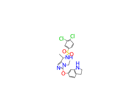 CCn1c(C(C)NS(=O)(=O)c2ccc(Cl)c(Cl)c2)cnc1Oc1ccc2c(c1)NCC2